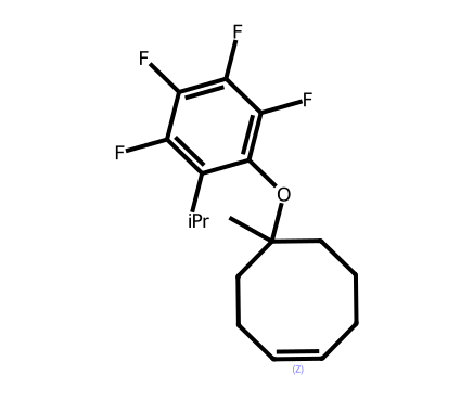 CC(C)c1c(F)c(F)c(F)c(F)c1OC1(C)CC/C=C\CCC1